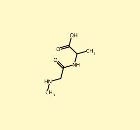 CNCC(=O)NC(C)C(=O)O